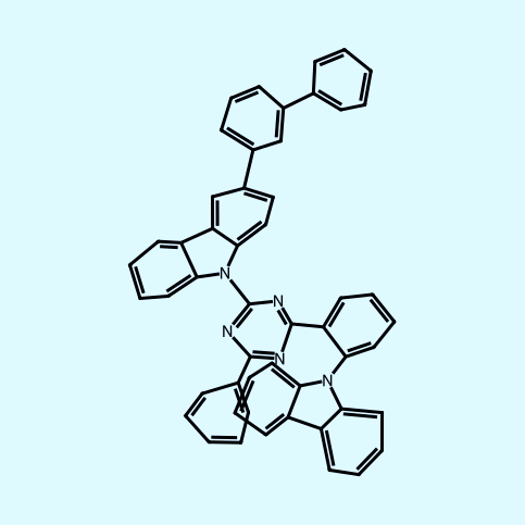 c1ccc(-c2cccc(-c3ccc4c(c3)c3ccccc3n4-c3nc(-c4ccccc4)nc(-c4ccccc4-n4c5ccccc5c5ccccc54)n3)c2)cc1